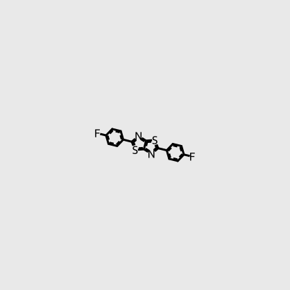 Fc1ccc(-c2nc3sc(-c4ccc(F)cc4)nc3s2)cc1